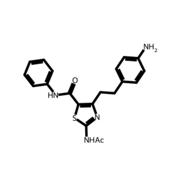 CC(=O)Nc1nc(CCc2ccc(N)cc2)c(C(=O)Nc2ccccc2)s1